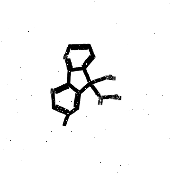 CCCCNC1(CCCC)c2cccnc2-c2ncc(C)cc21